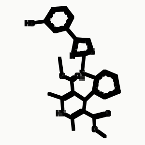 COC(=O)C1=C(C)NC(C)=C(C(=O)OC)C1c1ccccc1Nc1nc(-c2cccc(O)c2)cs1